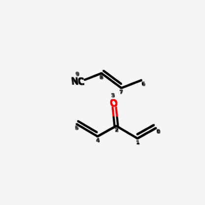 C=CC(=O)C=C.CC=CC#N